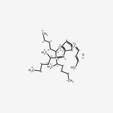 C=CC=CC.CCCCC(C)P(=NC1=CC=CC1)(C(C)CCCC)C(C)CCCC.[Ti]